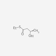 CCSC(=O)C[C@@H](C)O